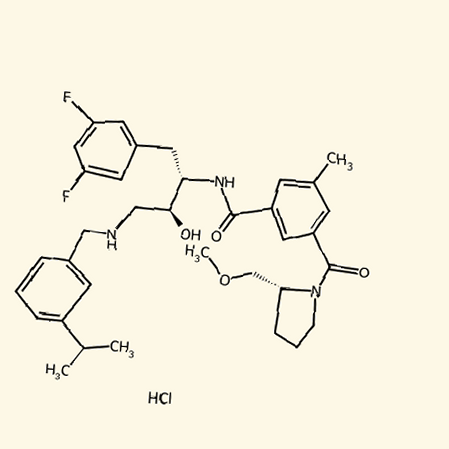 COC[C@H]1CCCN1C(=O)c1cc(C)cc(C(=O)N[C@@H](Cc2cc(F)cc(F)c2)[C@@H](O)CNCc2cccc(C(C)C)c2)c1.Cl